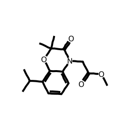 COC(=O)CN1C(=O)C(C)(C)Oc2c(C(C)C)cccc21